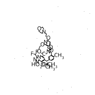 Cc1ccc([C@@H](c2ccn3c(C(F)F)nnc3c2C)C(C)(C)C(=O)O)cc1CN1CCCOCCOc2nc(OCCN3CCOCC3)ccc2S1(=O)=O